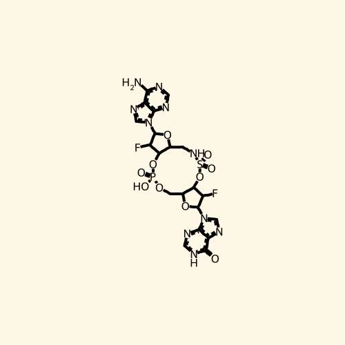 Nc1ncnc2c1ncn2C1OC2CNS(=O)(=O)OC3C(COP(=O)(O)OC2C1F)OC(n1cnc2c(=O)[nH]cnc21)C3F